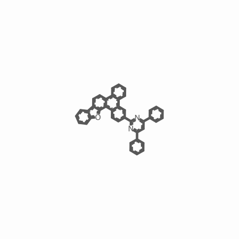 c1ccc(-c2cc(-c3ccccc3)nc(-c3ccc4c(c3)c3ccccc3c3ccc5c6ccccc6oc5c34)n2)cc1